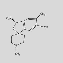 Cc1cc2c(cc1C#N)C1(CCN(C)CC1)C[C@H]2C